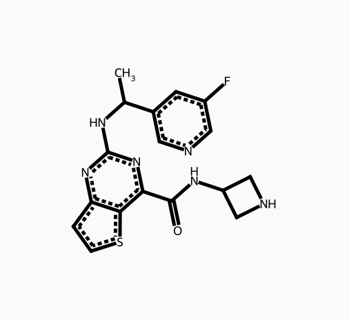 CC(Nc1nc(C(=O)NC2CNC2)c2sccc2n1)c1cncc(F)c1